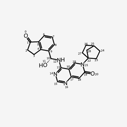 O=C1CCc2c1cccc2[C@@H](O)Nc1ncnc2cc(=O)n(C34CCC(CC3)C4)cc12